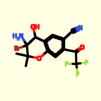 CC1(C)Oc2cc(C(=O)C(F)(F)F)c(C#N)cc2C(O)C1(N)Br